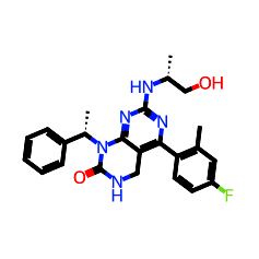 Cc1cc(F)ccc1-c1nc(N[C@H](C)CO)nc2c1CNC(=O)N2[C@@H](C)c1ccccc1